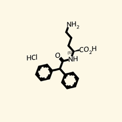 Cl.NCCC[C@H](NC(=O)C(c1ccccc1)c1ccccc1)C(=O)O